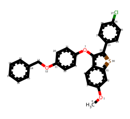 COc1ccc2c(Oc3ccc(OCc4ccccc4)cc3)c(-c3ccc(Cl)cc3)sc2c1